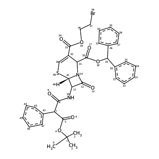 CC(C)(C)OC(=O)C(C(=O)NC1C(=O)N2C(C(=O)OC(c3ccccc3)c3ccccc3)C(C(=O)OCCBr)=CS[C@@H]12)c1ccccc1